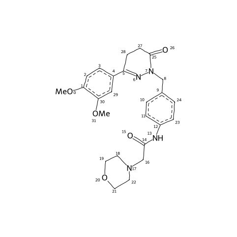 COc1ccc(C2=NN(Cc3ccc(NC(=O)CN4CCOCC4)cc3)C(=O)CC2)cc1OC